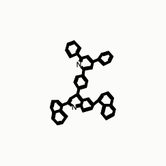 c1ccc(-c2cc(-c3ccccc3)nc(-c3ccc(-c4cc(-c5cccc6ccccc56)nc5ccc(-c6cccc7ccccc67)cc45)cc3)c2)cc1